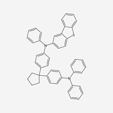 c1ccc(N(c2ccccc2)c2ccc(C3(c4ccc(N(c5ccccc5)c5ccc6sc7ccccc7c6c5)cc4)CCCC3)cc2)cc1